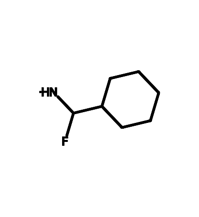 [NH]C(F)C1CCCCC1